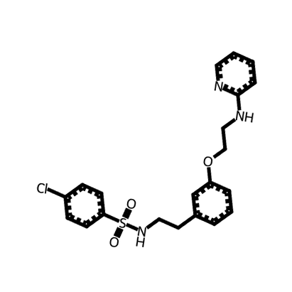 O=S(=O)(NCCc1cccc(OCCNc2ccccn2)c1)c1ccc(Cl)cc1